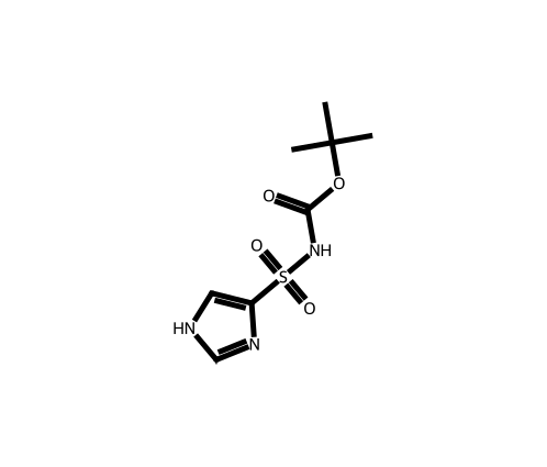 CC(C)(C)OC(=O)NS(=O)(=O)c1c[nH][c]n1